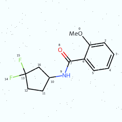 COc1ccccc1C(=O)NC1CCC(F)(F)C1